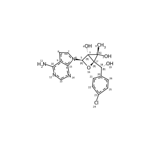 C[C@]1(O)[C@]2(O)[C@H](n3ccc4c(N)ncnc43)O[C@]12[C@H](O)c1ccc(Cl)cc1